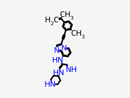 C=C(C)c1ccc(C)c(C#Cc2cnc3c(N/C(C=N)=C/NC4CCNCC4)cccn23)c1